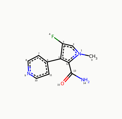 Cn1cc(F)c(-c2ccncc2)c1C(N)=O